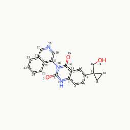 O=c1[nH]c2ccc(C3(CO)CC3)cc2c(=O)n1-c1cncc2ccccc12